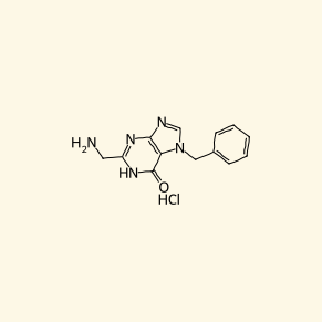 Cl.NCc1nc2ncn(Cc3ccccc3)c2c(=O)[nH]1